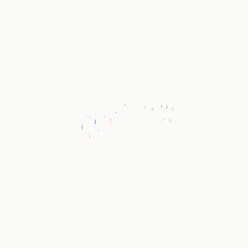 CO[Si](CCCNC(=O)Nc1nc(=O)cc[nH]1)(OC)OC